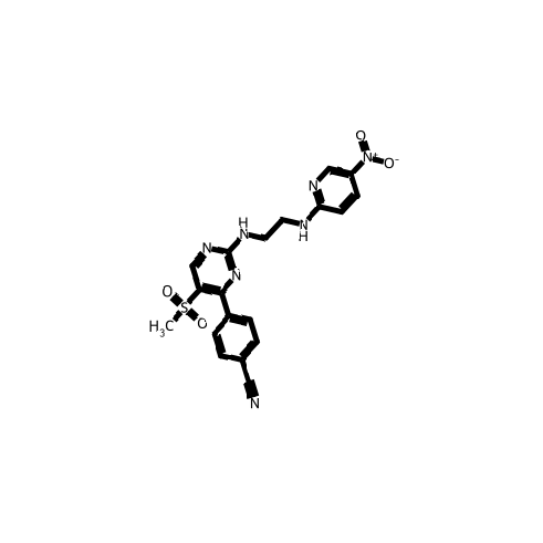 CS(=O)(=O)c1cnc(NCCNc2ccc([N+](=O)[O-])cn2)nc1-c1ccc(C#N)cc1